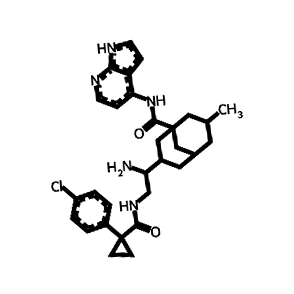 CC1CC2CC(C(N)CNC(=O)C3(c4ccc(Cl)cc4)CC3)CC(C(=O)Nc3ccnc4[nH]ccc34)(C1)C2